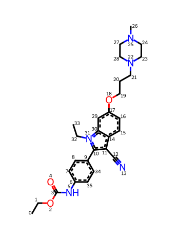 CCOC(=O)Nc1ccc(-c2c(C#N)c3ccc(OCCCN4CCN(C)CC4)cc3n2CC)cc1